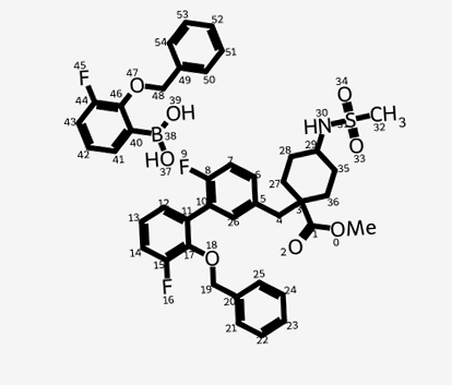 COC(=O)C1(Cc2ccc(F)c(-c3cccc(F)c3OCc3ccccc3)c2)CCC(NS(C)(=O)=O)CC1.OB(O)c1cccc(F)c1OCc1ccccc1